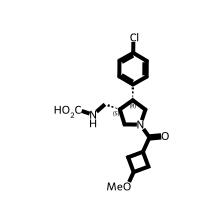 COC1CC(C(=O)N2C[C@H](CNC(=O)O)[C@H](c3ccc(Cl)cc3)C2)C1